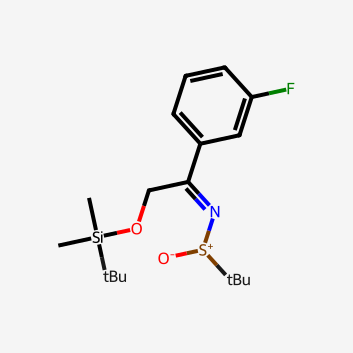 CC(C)(C)[S+]([O-])N=C(CO[Si](C)(C)C(C)(C)C)c1cccc(F)c1